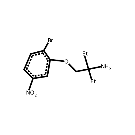 CCC(N)(CC)COc1cc([N+](=O)[O-])ccc1Br